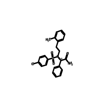 Cc1ccccc1CCN([C@@H](C(N)=O)c1ccccc1)S(=O)(=O)c1ccc(Cl)cc1